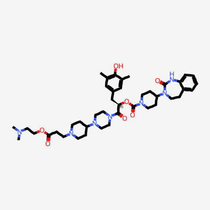 Cc1cc(C[C@@H](OC(=O)N2CCC(N3CCc4ccccc4NC3=O)CC2)C(=O)N2CCN(C3CCN(CCC(=O)OCCN(C)C)CC3)CC2)cc(C)c1O